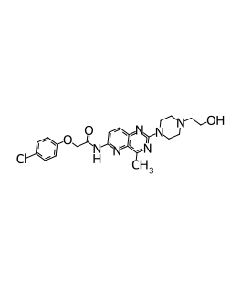 Cc1nc(N2CCN(CCO)CC2)nc2ccc(NC(=O)COc3ccc(Cl)cc3)nc12